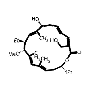 CC[C@H]1/C=C(\C)[C@@H](O)C/C=C/C=C(\CO)C(=O)O[C@H](C(C)C)C/C=C(C)/C=C(\C)[C@@H]1OC